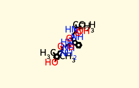 Cc1cc(O)cc(C)c1C[C@H](N)C(=O)NCC(=O)NC1(C(=O)NCC(=O)NC(C(=O)O)C(C)O)Cc2ccccc2C1